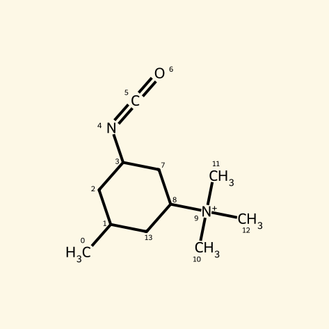 CC1CC(N=C=O)CC([N+](C)(C)C)C1